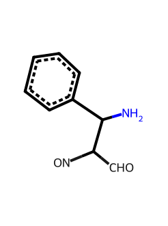 NC(c1ccccc1)C(C=O)N=O